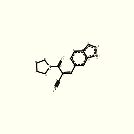 N#CC(=Cc1ccc2cn[nH]c2c1)C(=O)N1CCCC1